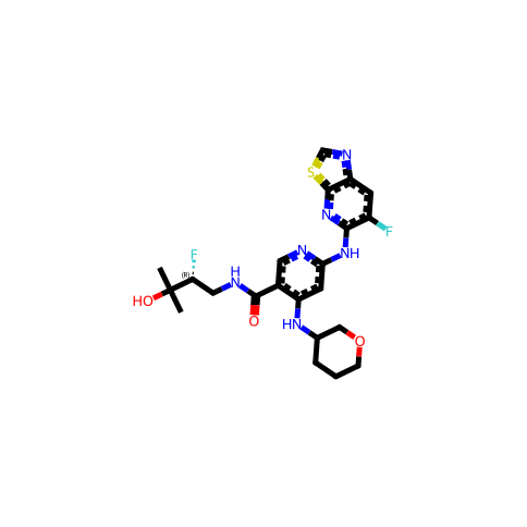 CC(C)(O)[C@H](F)CNC(=O)c1cnc(Nc2nc3scnc3cc2F)cc1NC1CCCOC1